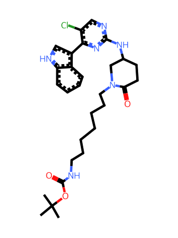 CC(C)(C)OC(=O)NCCCCCCCN1CC(Nc2ncc(Cl)c(-c3c[nH]c4ccccc34)n2)CCC1=O